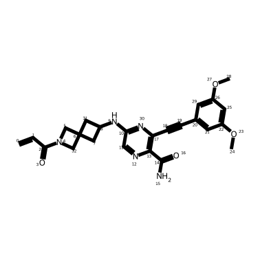 C=CC(=O)N1CC2(CC(Nc3cnc(C(N)=O)c(C#Cc4cc(OC)cc(OC)c4)n3)C2)C1